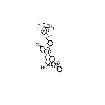 CC(C)(C)OC(=O)NCc1cccc(Oc2cc(Cl)ccc2N(CCCC(=O)O)C(=O)C2CCN(S(=O)(=O)c3ccccc3)CC2)c1